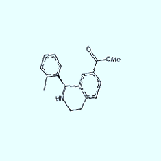 COC(=O)c1ccc2c(c1)[C@H](c1ccccc1C)NCC2